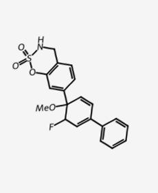 COC1(c2ccc3c(c2)OS(=O)(=O)NC3)C=CC(c2ccccc2)=CC1F